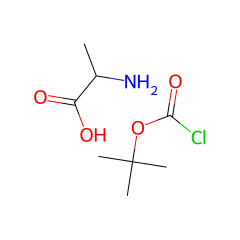 CC(C)(C)OC(=O)Cl.CC(N)C(=O)O